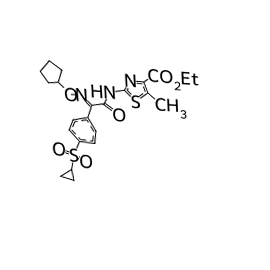 CCOC(=O)c1nc(NC(=O)/C(=N/OC2CCCC2)c2ccc(S(=O)(=O)C3CC3)cc2)sc1C